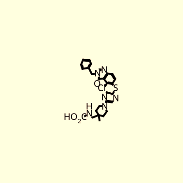 CC1(CNC(=O)O)CCN(c2cnc(Sc3ccc4ncn(Cc5ccccc5)c(=O)c4c3Cl)cn2)CC1